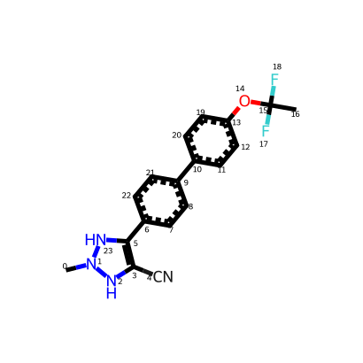 CN1NC(C#N)=C(c2ccc(-c3ccc(OC(C)(F)F)cc3)cc2)N1